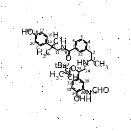 CC(Cc1cccc(C(=O)NCC(C)(C)c2ccc(O)cc2)c1)NCC(O[Si](C)(C)C(C)(C)C)c1ccc(O)c(NC=O)c1